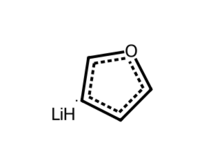 [LiH].[c]1ccoc1